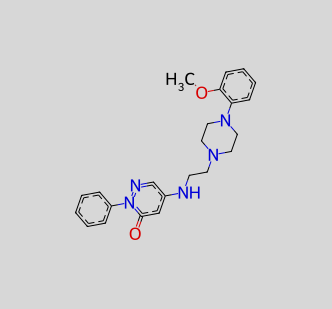 COc1ccccc1N1CCN(CCNc2cnn(-c3ccccc3)c(=O)c2)CC1